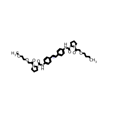 CCCCOCC(=O)N1CCC[C@H]1C(=O)Nc1ccc(/C=C/c2ccc(NC(=O)[C@@H]3CCCN3C(=O)COCCOC)cc2)cc1